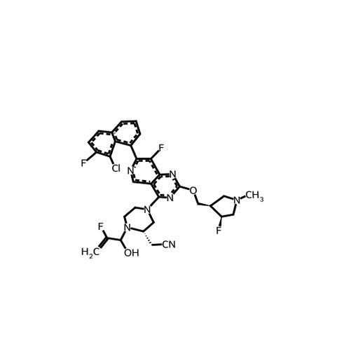 C=C(F)C(O)N1CCN(c2nc(OC[C@H]3CN(C)C[C@H]3F)nc3c(F)c(-c4cccc5ccc(F)c(Cl)c45)ncc23)C[C@@H]1CC#N